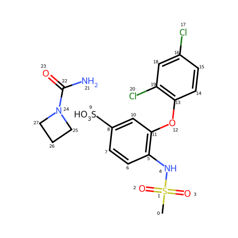 CS(=O)(=O)Nc1ccc(S(=O)(=O)O)cc1Oc1ccc(Cl)cc1Cl.NC(=O)N1CCC1